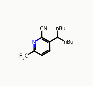 CCCCC(CCCC)c1ccc(C(F)(F)F)nc1C#N